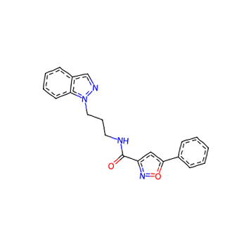 O=C(NCCCn1ncc2ccccc21)c1cc(-c2ccccc2)on1